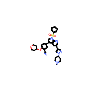 CN1CCC(n2cc(-c3cnc4c(c3)c(-c3ccc(OC5CCOCC5)c(C#N)c3)cn4S(=O)(=O)c3ccccc3)cn2)CC1